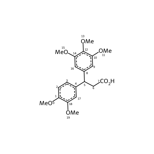 COc1ccc(C(CC(=O)O)c2cc(OC)c(OC)c(OC)c2)cc1OC